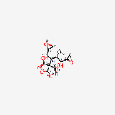 C/C(CC1CO1)=C(\CC1CO1)C(C(=O)O)(C(=O)O)C(=O)O